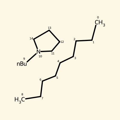 CCCCCCCCC.CCCCN1CCCC1